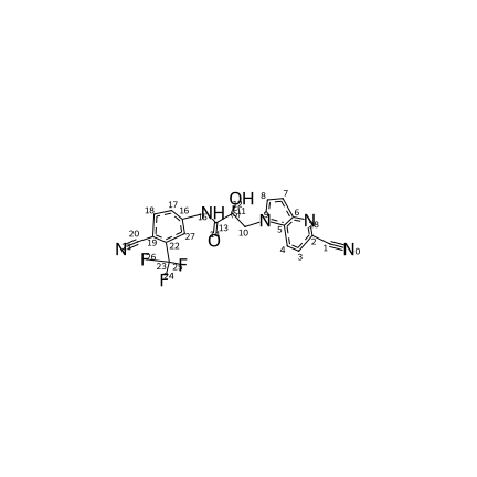 N#Cc1ccc2c(ccn2C[C@H](O)C(=O)Nc2ccc(C#N)c(C(F)(F)F)c2)n1